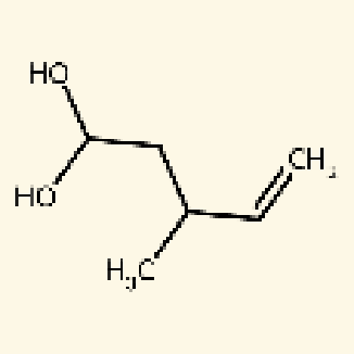 C=CC(C)CC(O)O